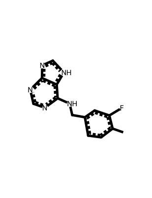 Cc1ccc(CNc2ncnc3nc[nH]c23)cc1F